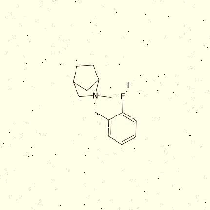 C[N+]1(Cc2ccccc2F)CC2CCC1C2.[I-]